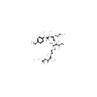 CC[C@H](C)[C@H](NC(=O)[C@H](CCCSC)NC(=O)Nc1ccc(CNC)cc1)C(=O)NCCNC(=O)C(C)CC(=O)O